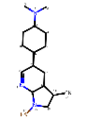 CN(C)C1CCC(C2C=NC3C(C2)C(C#N)CN3S)CC1